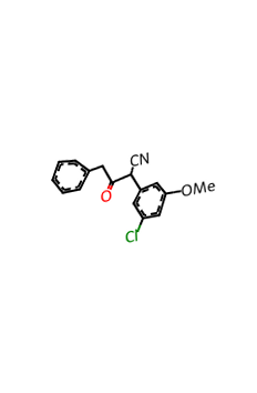 COc1cc(Cl)cc(C(C#N)C(=O)Cc2ccccc2)c1